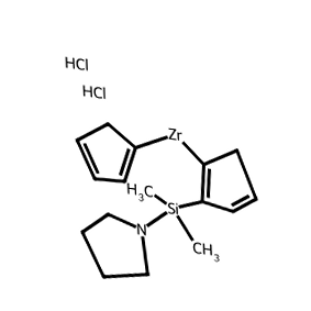 C[Si](C)(C1=[C]([Zr][C]2=CC=CC2)CC=C1)N1CCCC1.Cl.Cl